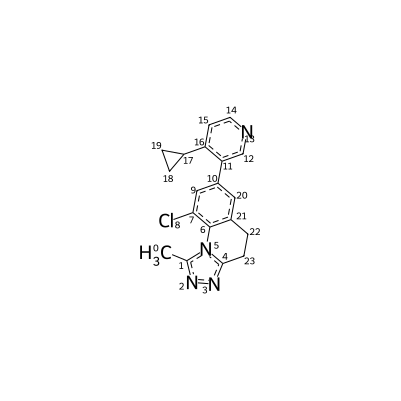 Cc1nnc2n1-c1c(Cl)cc(-c3cnccc3C3CC3)cc1CC2